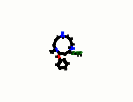 [Cl-].[Cl-].[Cl-].[Ti+3][N]1CCCNCCCNCCC1Oc1ccccc1